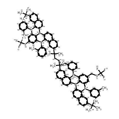 Cc1cccc(N2c3cc(CSC(F)(F)F)cc4c3B(c3ccc5ccc(C(C)(C)C)cc5c32)c2ccc3ccc(C(C)(C)CCC(C)(C)c5ccc6ccc7c(c6c5)N(c5ccccc5C)c5cc(SC(F)(F)F)cc6c5B7c5ccc7ccc(C(C)(C)C)cc7c5N6c5ccccc5C)cc3c2N4c2cccc(C)c2)c1